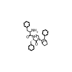 CCN(C(=O)[C@H](Cc1ccccc1)NC(=O)C(N)Cc1ccccc1)C1C2CCC(C2)C1c1ccccc1